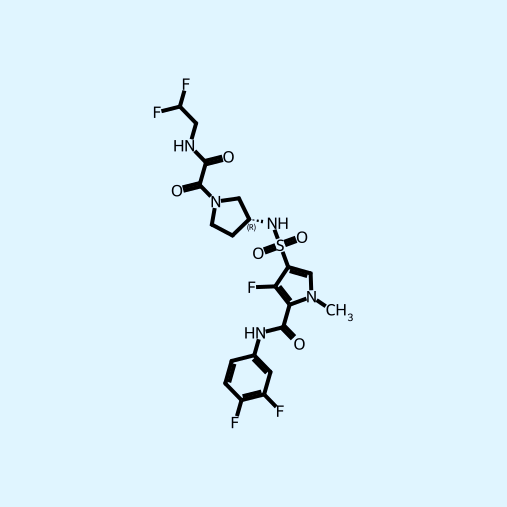 Cn1cc(S(=O)(=O)N[C@@H]2CCN(C(=O)C(=O)NCC(F)F)C2)c(F)c1C(=O)Nc1ccc(F)c(F)c1